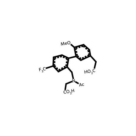 COc1ccc(CC(=O)O)cc1-c1ccc(C(F)(F)F)cc1CN(CC(=O)O)C(C)=O